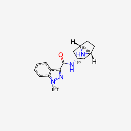 CC(C)n1nc(C(=O)N[C@H]2C[C@H]3CC[C@@H](C2)N3)c2ccccc21